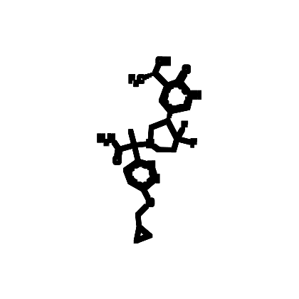 CC(C(N)=O)(c1ccc(OCC2CC2)nn1)N1CCC(F)(F)[C@@H](c2c[nH]c(=O)c([C@@H](O)C(F)(F)F)c2)C1